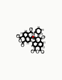 O=C1OC(=O)c2ccc3c4c(ccc1c24)C(=O)C([C@@H]1CCCC[C@H]1N1C(=O)c2ccc4c5c(ccc(c25)C1=O)C(=O)OC4=O)C3=O